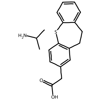 CC(C)N.O=C(O)Cc1ccc2c(c1)CCc1ccccc1S2